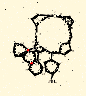 Nc1ccc(-c2c3nc(cc4ccc(cc5nc(cc6c(-c7ccccc7)c(-c7ccccc7)c2n6-c2ccccc2)C=C5)[nH]4)C=C3)cc1